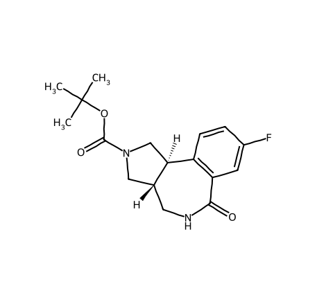 CC(C)(C)OC(=O)N1C[C@H]2CNC(=O)c3cc(F)ccc3[C@@H]2C1